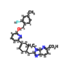 Cc1ccc(COc2cccc(C3=CCC(Cc4nc5ccc(C(=O)O)nc5n4C)CC3)n2)c(F)c1